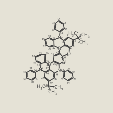 CC(C)(C)c1cc2c3c(c1)N(c1ccccc1)c1ccccc1B3c1cc3c(nc1O2)N(c1ccccc1)c1cc(C(C)(C)C)cc2c1B3c1ccccc1N2c1ccccc1